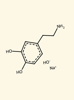 NCCc1ccc(O)c(O)c1.[Na+].[OH-]